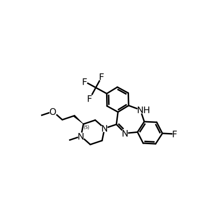 COCC[C@H]1CN(C2=Nc3ccc(F)cc3Nc3ccc(C(F)(F)F)cc32)CCN1C